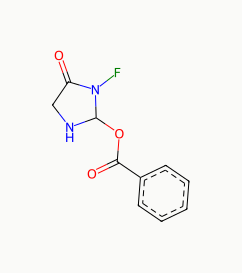 O=C(OC1NCC(=O)N1F)c1ccccc1